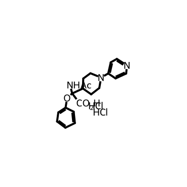 CC(=O)NC(Oc1ccccc1)(C(=O)O)C1CCN(c2ccncc2)CC1.Cl.Cl